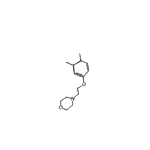 CC1C=CC(OCCN2CCOCC2)=CC1C